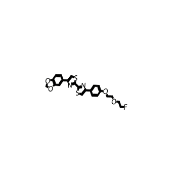 FCCOCCOc1ccc(-c2csc(-c3nc(-c4ccc5c(c4)OCO5)cs3)n2)cc1